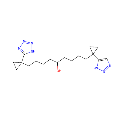 OC(CCCCC1(c2cnn[nH]2)CC1)CCCCC1(c2nnn[nH]2)CC1